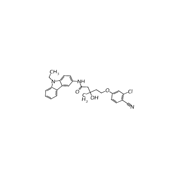 CCn1c2ccccc2c2cc(NC(=O)CC(C)(O)CCOc3ccc(C#N)c(Cl)c3)ccc21